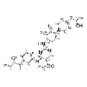 C=CC(=O)Nc1cccc(-n2ccc(=O)c3cnc(Nc4ccc(N5CCN(CC(C)O)CC5)c(F)c4F)nc32)c1